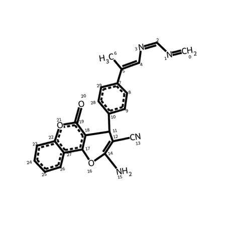 C=N/C=N\C=C(/C)c1ccc(C2C(C#N)=C(N)Oc3c2c(=O)oc2ccccc32)cc1